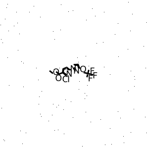 CCOC(=O)c1ccc(-n2ccc(OCC(C)(C)C(F)(F)F)n2)nc1Cl